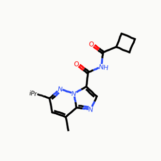 Cc1cc(C(C)C)nn2c(C(=O)NC(=O)C3CCC3)cnc12